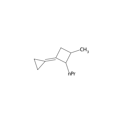 CCCC1C(=C2CC2)CC1C